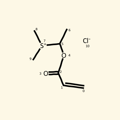 C=CC(=O)OC(C)[S+](C)C.[Cl-]